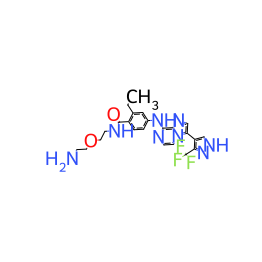 CCc1cc(Nc2nccn3c(-c4c[nH]nc4C(F)(F)F)cnc23)ccc1C(=O)NCCOCCN